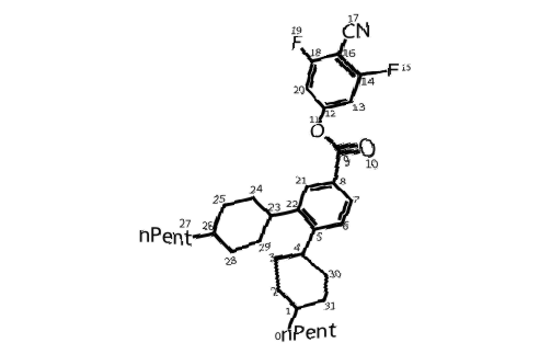 CCCCCC1CCC(c2ccc(C(=O)Oc3cc(F)c(C#N)c(F)c3)cc2C2CCC(CCCCC)CC2)CC1